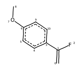 C=C(F)c1ccc(OC)cc1